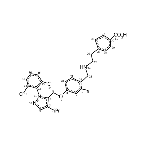 Cc1cc(OCc2c(C(C)C)cnn2-c2c(Cl)cccc2Cl)ccc1CNCCc1ccc(C(=O)O)cc1